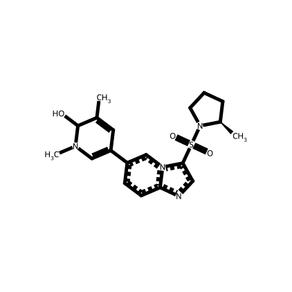 CC1=CC(c2ccc3ncc(S(=O)(=O)N4CCC[C@H]4C)n3c2)=CN(C)C1O